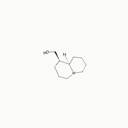 OC[C@@H]1CCCN2CCCC[C@H]12